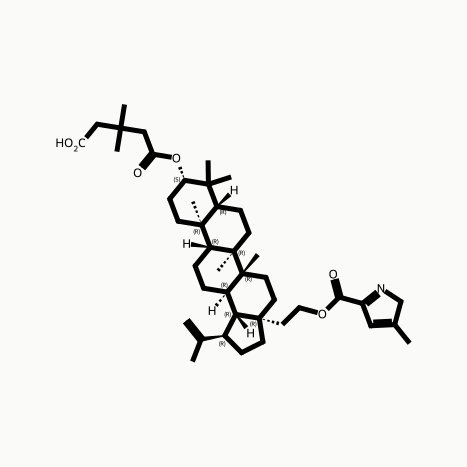 C=C(C)[C@@H]1CC[C@]2(CCOC(=O)C3=NCC(C)=C3)CC[C@]3(C)[C@H](CC[C@@H]4[C@@]5(C)CC[C@H](OC(=O)CC(C)(C)CC(=O)O)C(C)(C)[C@@H]5CC[C@]43C)[C@@H]12